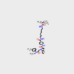 CCN(C(=O)Cn1c(C(=O)N[C@H]2CC[C@H](C(=O)NCCCCCCNC(=O)OC(C)(C)C)CC2)cc2sccc21)c1cccc(C)c1